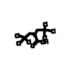 O=C(O)N(CC(Cl)(Cl)Cl)CC(Cl)(Cl)Cl